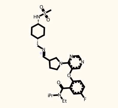 CCN(C(=O)c1cc(F)ccc1Oc1cncnc1N1CCC(/C=N/C[C@H]2CC[C@@H](NS(C)(=O)=O)CC2)C1)C(C)C